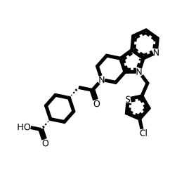 O=C(C[C@H]1CC[C@@H](C(=O)O)CC1)N1CCc2c(n(Cc3cc(Cl)cs3)c3ncccc23)C1